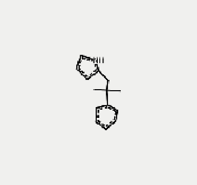 CC(C)(Cc1ccc[nH]1)c1ccccc1